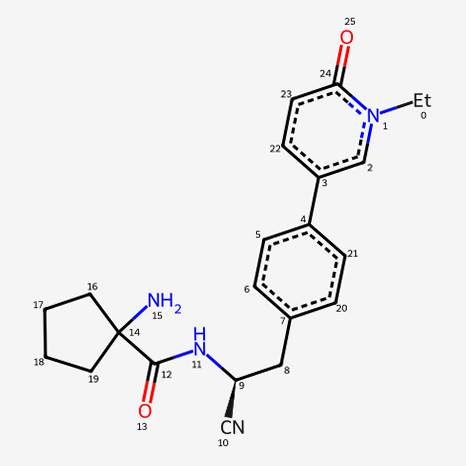 CCn1cc(-c2ccc(C[C@@H](C#N)NC(=O)C3(N)CCCC3)cc2)ccc1=O